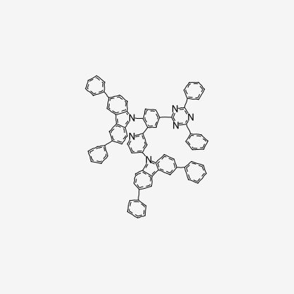 c1ccc(-c2ccc3c(c2)c2cc(-c4ccccc4)ccc2n3-c2ccnc(-c3cc(-c4nc(-c5ccccc5)nc(-c5ccccc5)n4)ccc3-n3c4ccc(-c5ccccc5)cc4c4cc(-c5ccccc5)ccc43)c2)cc1